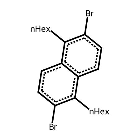 CCCCCCc1c(Br)ccc2c(CCCCCC)c(Br)ccc12